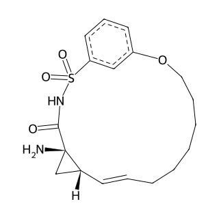 N[C@]12C[C@H]1/C=C/CCCCCCOc1cccc(c1)S(=O)(=O)NC2=O